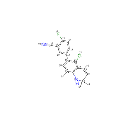 CC1=CC(C)(C)Nc2c(C)cc(-c3ccc(F)c(C#N)c3)c(Cl)c21